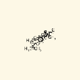 CC(C)OC1Oc2ccc(OS(=O)(=O)N(C)CCCl)cc2C1(C)C